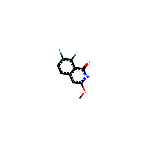 COc1cc2ccc(F)c(Cl)c2c(=O)[nH]1